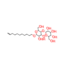 C=CCCCCCCCCCO[C@@H]1OC(CO)[C@@H](O[C@H]2OC(CO)[C@@H](O)C(O)[C@H]2O)C(O)C1O